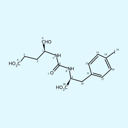 O=C[C@H](CCC(=O)O)NC(=O)N[C@@H](Cc1ccc(I)cc1)C(=O)O